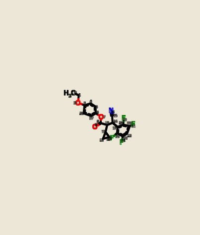 CCOc1ccc(OC(=O)C(C2CC2)C(C#N)c2c(F)c(F)cc(F)c2F)cc1